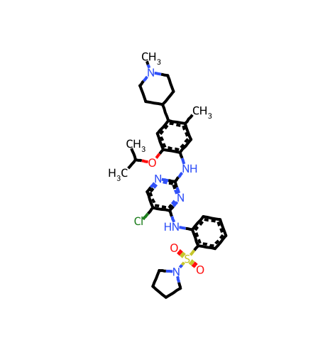 Cc1cc(Nc2ncc(Cl)c(Nc3ccccc3S(=O)(=O)N3CCCC3)n2)c(OC(C)C)cc1C1CCN(C)CC1